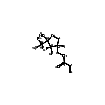 C=CC(=O)OCC1(C)COC(O)(C(F)(F)F)C1(F)F